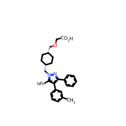 CCCc1c(-c2cccc(C)c2)c(-c2ccccc2)nn1C[C@H]1CC[C@@H](COCC(=O)O)CC1